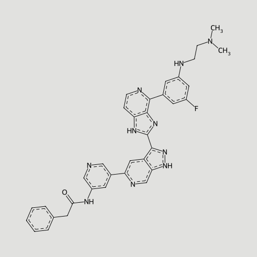 CN(C)CCNc1cc(F)cc(-c2nccc3[nH]c(-c4n[nH]c5cnc(-c6cncc(NC(=O)Cc7ccccc7)c6)cc45)nc23)c1